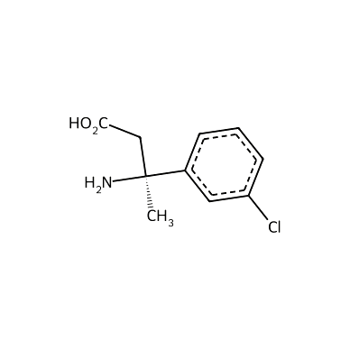 C[C@](N)(CC(=O)O)c1cccc(Cl)c1